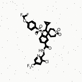 O=C(NCc1ncc(C(F)(F)F)cc1Cl)c1ccc2c(c1)C1(CCS(=O)(=O)CC1)C(C1CC1)N2S(=O)(=O)c1ccc(OC(F)F)cc1